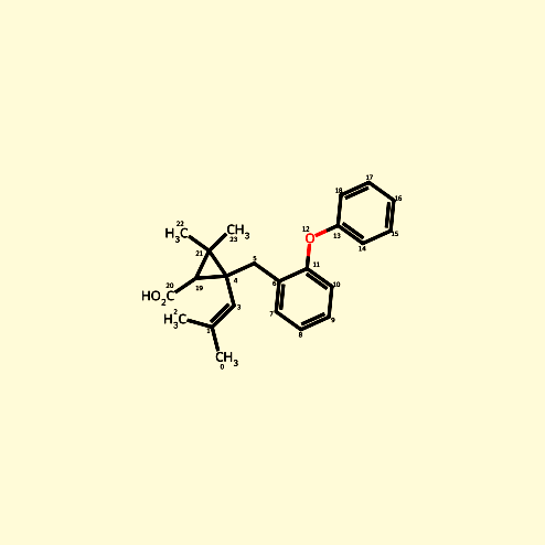 CC(C)=CC1(Cc2ccccc2Oc2ccccc2)C(C(=O)O)C1(C)C